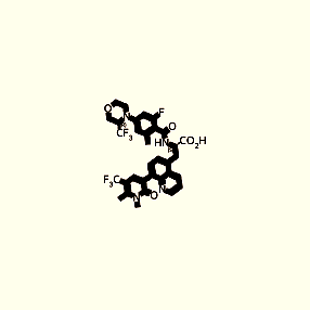 Cc1cc(N2CCOC[C@@H]2C(F)(F)F)cc(F)c1C(=O)N[C@@H](Cc1ccc(-c2cc(C(F)(F)F)c(C)n(C)c2=O)c2ncccc12)C(=O)O